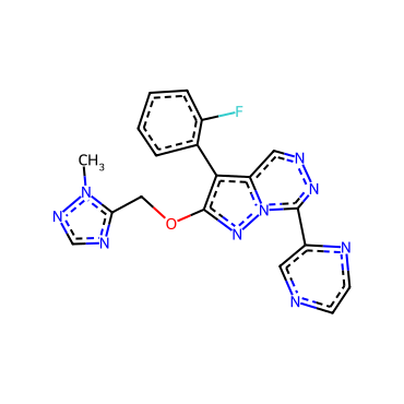 Cn1ncnc1COc1nn2c(-c3cnccn3)nncc2c1-c1ccccc1F